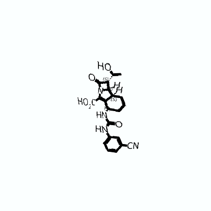 CC(O)[C@H]1C(=O)N2C(C(=O)O)=C3[C@@H](NC(=O)Nc4cccc(C#N)c4)CCC[C@@H]3[C@H]12